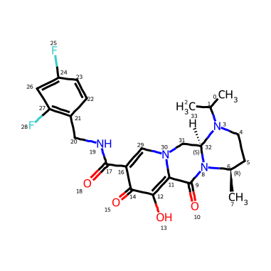 CC(C)N1CC[C@@H](C)N2C(=O)c3c(O)c(=O)c(C(=O)NCc4ccc(F)cc4F)cn3C[C@@H]12